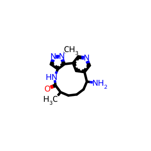 CC1CCCC(N)c2cncc(c2)-c2c(cnn2C)NC1=O